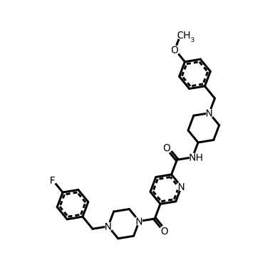 COc1ccc(CN2CCC(NC(=O)c3ccc(C(=O)N4CCN(Cc5ccc(F)cc5)CC4)cn3)CC2)cc1